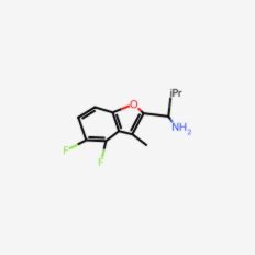 Cc1c(C(N)C(C)C)oc2ccc(F)c(F)c12